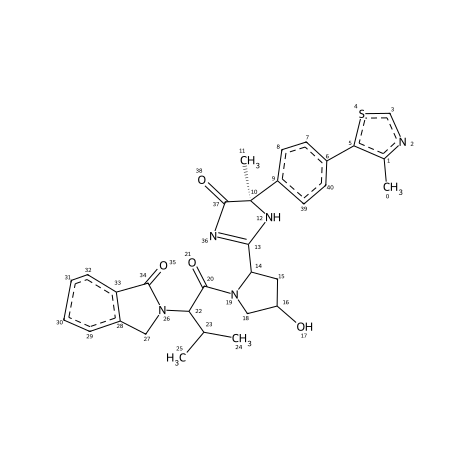 Cc1ncsc1-c1ccc([C@@]2(C)NC(C3CC(O)CN3C(=O)C(C(C)C)N3Cc4ccccc4C3=O)=NC2=O)cc1